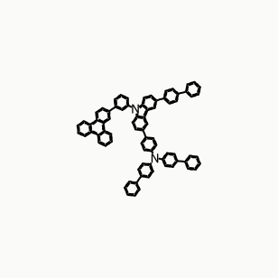 c1ccc(-c2ccc(-c3ccc4c(c3)c3cc(-c5ccc(N(c6ccc(-c7ccccc7)cc6)c6ccc(-c7ccccc7)cc6)cc5)ccc3n4-c3cccc(-c4ccc5c6ccccc6c6ccccc6c5c4)c3)cc2)cc1